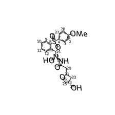 COc1ccc(S(=O)(=O)c2ccccc2CN(O)NC(=O)C[C@H]2C[C@H](O)CO2)cc1